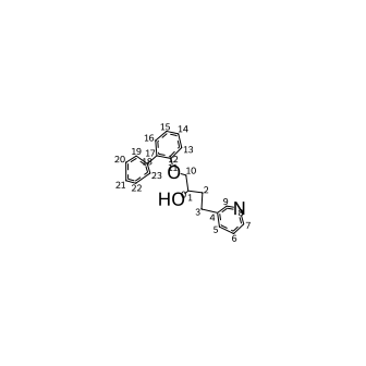 OC(CCc1cccnc1)COc1ccccc1-c1ccccc1